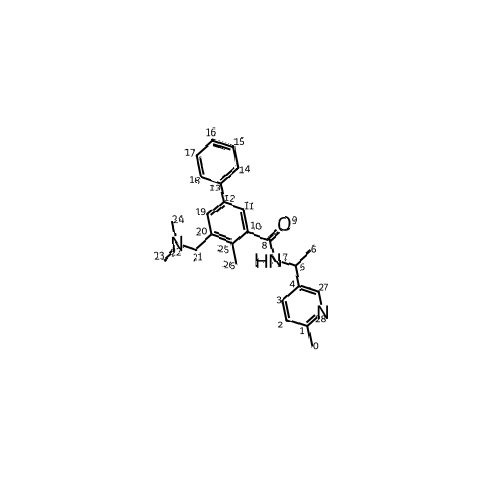 Cc1ccc(C(C)NC(=O)c2cc(-c3ccccc3)cc(CN(C)C)c2C)cn1